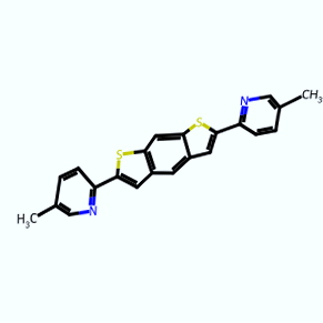 Cc1ccc(-c2cc3cc4cc(-c5ccc(C)cn5)sc4cc3s2)nc1